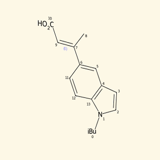 CCC(C)n1ccc2cc(/C(C)=C/C(=O)O)ccc21